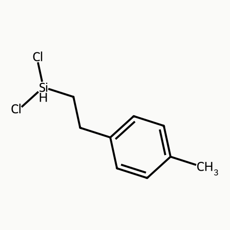 Cc1ccc(CC[SiH](Cl)Cl)cc1